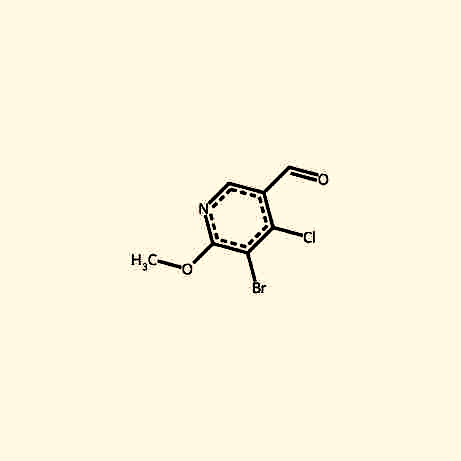 COc1ncc(C=O)c(Cl)c1Br